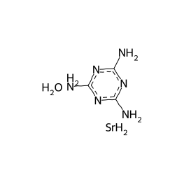 Nc1nc(N)nc(N)n1.O.[SrH2]